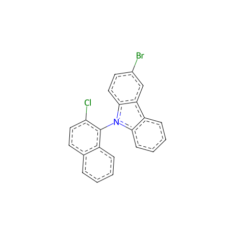 Clc1ccc2ccccc2c1-n1c2ccccc2c2cc(Br)ccc21